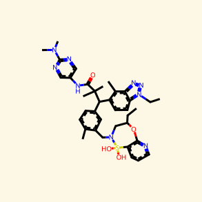 CCC1CN(Cc2cc(C(c3ccc4c(nnn4CC)c3C)C(C)(C)C(=O)Nc3cnc(N(C)C)nc3)ccc2C)S(O)(O)c2cccnc2O1